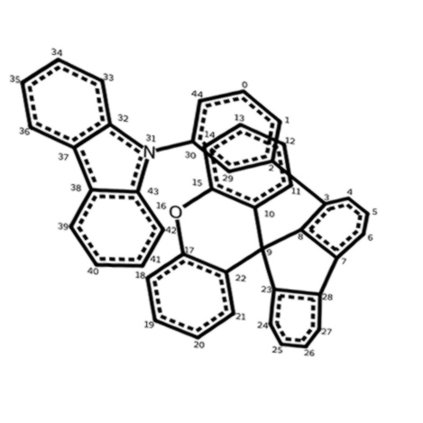 c1cc(-c2cccc3c2C2(c4ccccc4Oc4ccccc42)c2ccccc2-3)cc(-n2c3ccccc3c3ccccc32)c1